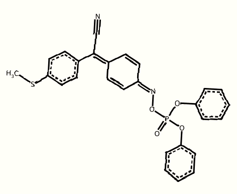 CSc1ccc(C(C#N)=C2C=CC(=NOP(=O)(Oc3ccccc3)Oc3ccccc3)C=C2)cc1